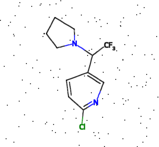 FC(F)(F)C(c1ccc(Cl)nc1)N1C[CH]CC1